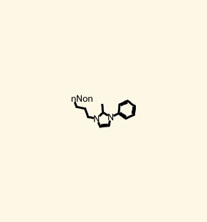 CCCCCCCCCCCCN1C=CN(c2ccccc2)C1C